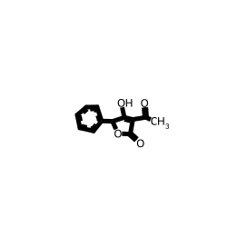 CC(=O)C1=C(O)C(c2ccccc2)OC1=O